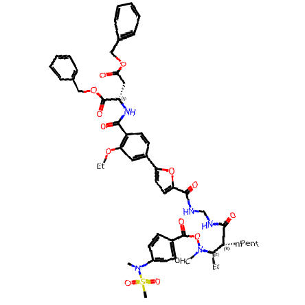 CCCCC[C@@H](C(=O)NCNC(=O)c1ccc(-c2ccc(C(=O)N[C@@H](CC(=O)OCc3ccccc3)C(=O)OCc3ccccc3)c(OCC)c2)o1)[C@@H](CC)N(C=O)OC(=O)c1ccc(N(C)S(C)(=O)=O)cc1